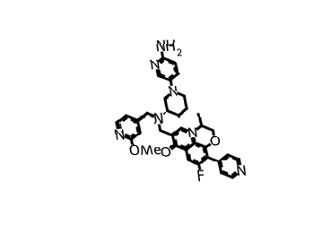 COc1cc(CN(Cc2cn3c4c(c(-c5ccncc5)c(F)cc4c2=O)OCC3C)[C@H]2CCCN(c3ccc(N)nc3)C2)ccn1